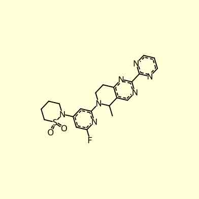 CC1c2cnc(-c3ncccn3)nc2CCN1c1cc(N2CCCCS2(=O)=O)cc(F)n1